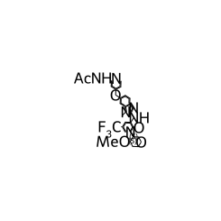 CO[C@H]1CCOC[C@@H]1n1cc(C(F)(F)F)cc(Nc2nc3ccc(Oc4ccnc(NC(C)=O)c4)cc3n2C)c1=O